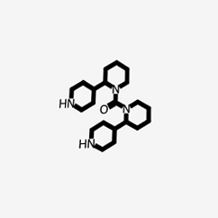 O=C(N1CCCCC1C1CCNCC1)N1CCCCC1C1CCNCC1